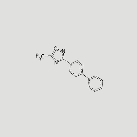 FC(F)(F)c1nc(-c2ccc(-c3ccccc3)cc2)no1